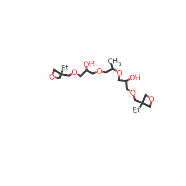 CCC1(COCC(O)COCC(C)OCC(O)COCC2(CC)COC2)COC1